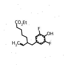 C=CC(CCCCC(=O)OCC)Cc1cc(F)c(O)c(F)c1